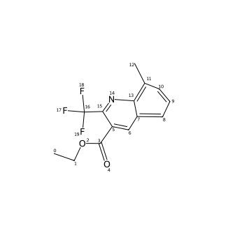 CCOC(=O)c1cc2cccc(C)c2nc1C(F)(F)F